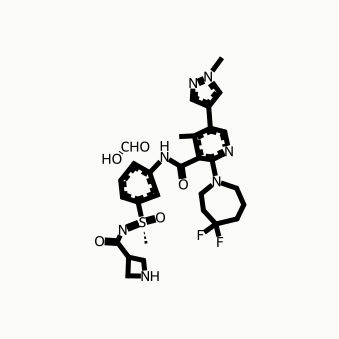 Cc1c(-c2cnn(C)c2)cnc(N2CCCC(F)(F)CC2)c1C(=O)Nc1cccc([S@@](C)(=O)=NC(=O)C2CNC2)c1.O=CO